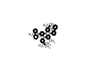 Cc1cc2c3c(c1)N(c1cccc4c1oc1ccccc14)c1cc(C(C)(C)C)ccc1B3c1ccc(N3c4ccccc4C4(C)CCCCC34C)cc1N2c1cccc(C(C)(C)C)c1